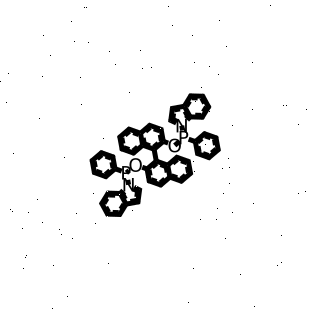 c1ccc(P(Oc2ccc3ccccc3c2-c2c(OP(c3ccccc3)n3ccc4ccccc43)ccc3ccccc23)n2ccc3ccccc32)cc1